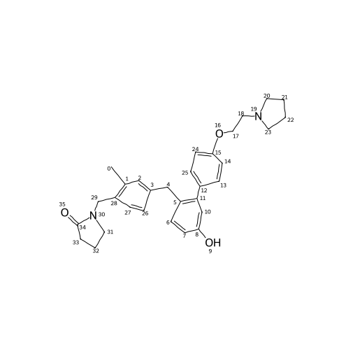 Cc1cc(Cc2ccc(O)cc2-c2ccc(OCCN3CCCC3)cc2)ccc1CN1CCCC1=O